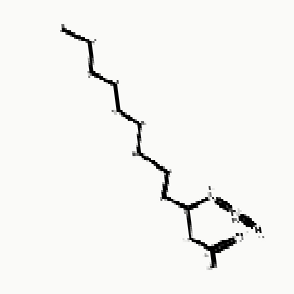 CCCCCCCCCC(CC(C)=O)N=[N+]=[N-]